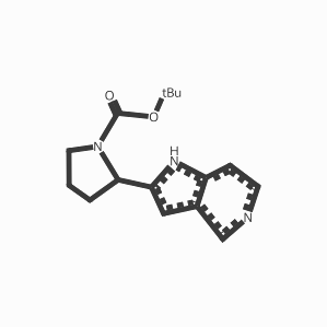 CC(C)(C)OC(=O)N1CCCC1c1cc2cnccc2[nH]1